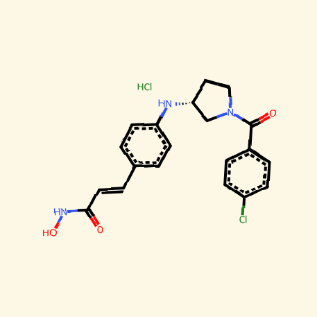 Cl.O=C(C=Cc1ccc(N[C@@H]2CCN(C(=O)c3ccc(Cl)cc3)C2)cc1)NO